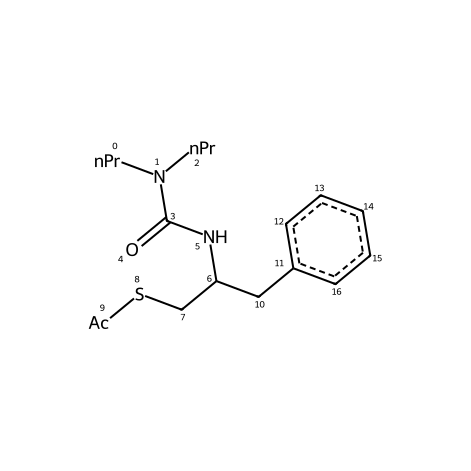 CCCN(CCC)C(=O)NC(CSC(C)=O)Cc1ccccc1